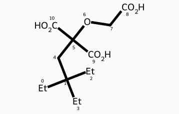 CCC(CC)(CC)CC(OCC(=O)O)(C(=O)O)C(=O)O